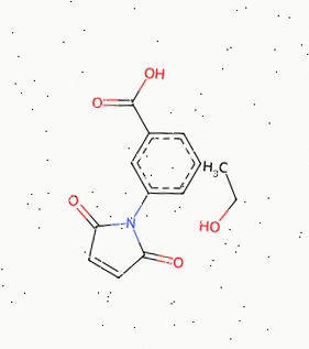 CCO.O=C(O)c1cccc(N2C(=O)C=CC2=O)c1